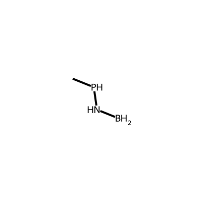 BNPC